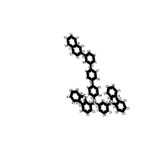 c1cc(-c2ccc(-c3ccc(N(c4cccc(-n5c6ccccc6c6ccccc65)c4)c4cccc5c4sc4ccccc45)cc3)cc2)cc(-c2ccc3ccccc3c2)c1